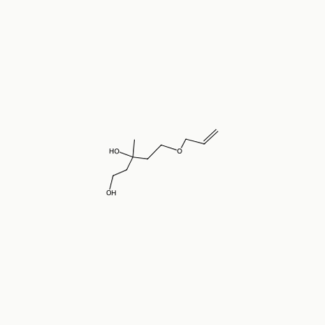 C=CCOCCC(C)(O)CCO